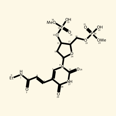 CCNC(=O)/C=C/c1cn(C2CC(OP(=O)(O)OC)C(COP(=O)(O)OC)O2)c(=O)[nH]c1=O